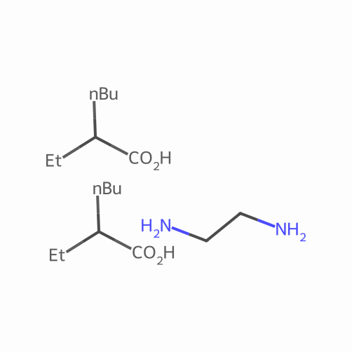 CCCCC(CC)C(=O)O.CCCCC(CC)C(=O)O.NCCN